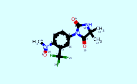 C[N+](=O)c1ccc(N2C(=O)NC(C)(C)C2=O)cc1C(F)(F)F